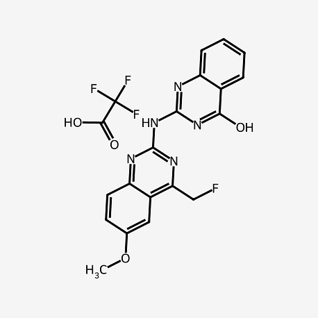 COc1ccc2nc(Nc3nc(O)c4ccccc4n3)nc(CF)c2c1.O=C(O)C(F)(F)F